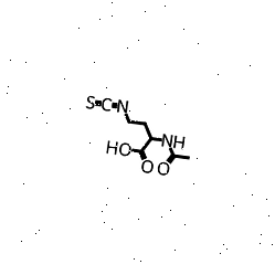 CC(=O)NC(CCN=C=S)C(=O)O